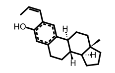 C/C=C\c1cc2c(cc1O)CC[C@@H]1[C@@H]2CC[C@]2(C)CCC[C@@H]12